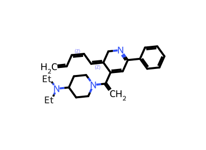 C=C/C=C\C=C1/CN=C(c2ccccc2)C=C1C(=C)N1CCC(N(CC)CC)CC1